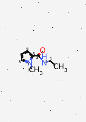 CCNC(=O)c1cccn1C